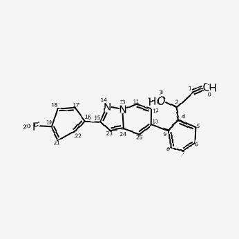 C#CC(O)c1ccccc1-c1ccn2nc(-c3ccc(F)cc3)cc2c1